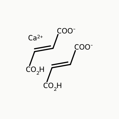 O=C([O-])C=CC(=O)O.O=C([O-])C=CC(=O)O.[Ca+2]